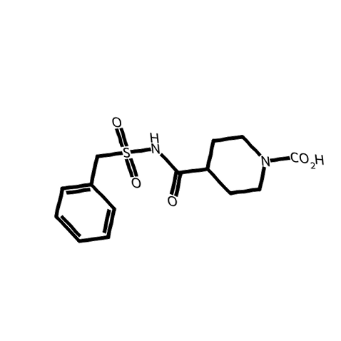 O=C(NS(=O)(=O)Cc1ccccc1)C1CCN(C(=O)O)CC1